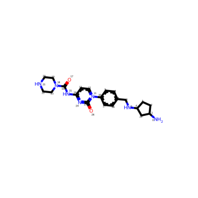 NC1CCC(NCc2ccc(-n3ccc(NC(=O)N4CCNCC4)nc3=O)cc2)C1